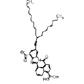 CCCCCCCCCCC(C#Cc1cc([N+](=O)[O-])c2nc3c4cccc5c(B(O)O)ccc(c(=O)n3c2c1)c54)CCCCCCCC